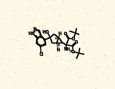 CC(C)(C)OC(=O)C(N)(C(=O)OC(C)(C)C)C1[C@H]2CC(O)(c3cc(Cl)cc4[nH]ncc34)C[C@@H]12